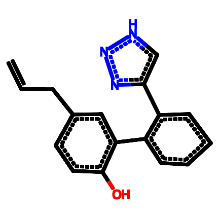 C=CCc1ccc(O)c(-c2ccccc2-c2c[nH]nn2)c1